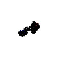 c1cc(-c2ccc3c(c2)-c2ccccc2C32c3ccccc3C3(c4ccccc4Oc4ccccc43)c3ccccc32)cc(-c2ccc3ccc4cccnc4c3n2)c1